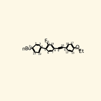 CCCCc1ccc(-c2ccc(C#Cc3ccc(OCC)cc3)cc2F)cc1